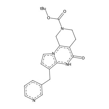 CC(C)(C)OC(=O)N1CCc2c(n3ccc(Cc4cccnc4)c3[nH]c2=O)C1